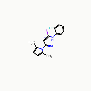 Cc1ccc(C)n1C(=N)/C=C(/I)Nc1ccccc1F